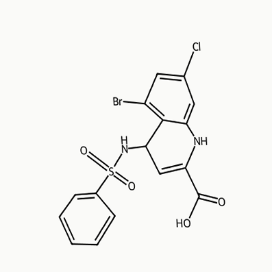 O=C(O)C1=CC(NS(=O)(=O)c2ccccc2)c2c(Br)cc(Cl)cc2N1